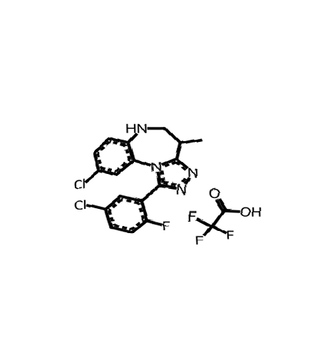 CC1CNc2ccc(Cl)cc2-n2c(-c3cc(Cl)ccc3F)nnc21.O=C(O)C(F)(F)F